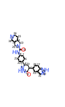 O=C1NN=C(c2ccc(NC(=O)N3Cc4ccncc4C3)cc2)CC1c1ccc2[nH]ncc2c1